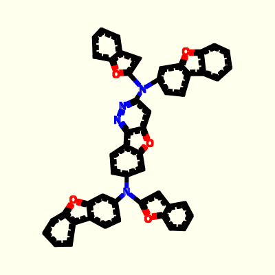 c1ccc2oc(N(c3ccc4c(c3)oc3ccccc34)c3ccc4c(c3)oc3cc(N(c5ccc6c(c5)oc5ccccc56)c5cc6ccccc6o5)nnc34)cc2c1